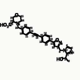 CC(O)c1nccn1Cc1cc(-c2ccc(C#Cc3ccc(CN4CCOCC4C(=O)O)cc3)cc2)on1